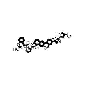 COC[C@@H]1CN[C@H](c2ncc(-c3ccc4c(c3)COc3cc5c(ccc6nc([C@@H]7CCCN7C(=O)[C@H](NC(=O)O)c7ccccc7)[nH]c65)cc3-4)[nH]2)C1